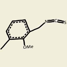 COc1c(C)cccc1CN=C=S